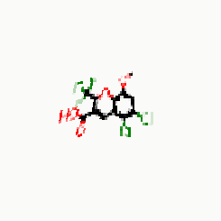 COc1cc(Cl)c(Cl)c2c1OC(C(F)(F)F)C(C(=O)O)=C2